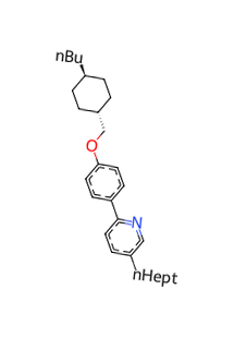 CCCCCCCc1ccc(-c2ccc(OC[C@H]3CC[C@H](CCCC)CC3)cc2)nc1